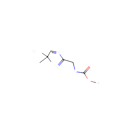 COC(C)(C)/C=N\C(=N)CNC(=O)OC(C)(C)C